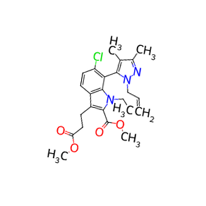 C=CCn1nc(C)c(C)c1-c1c(Cl)ccc2c(CCC(=O)OC)c(C(=O)OC)n(CC)c12